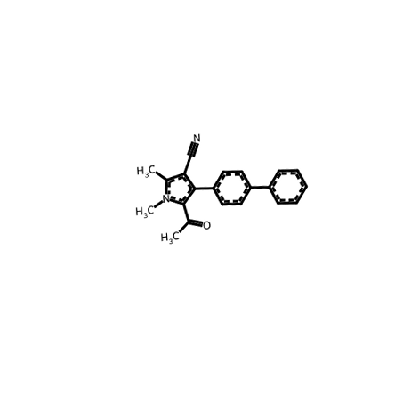 CC(=O)c1c(-c2ccc(-c3ccccc3)cc2)c(C#N)c(C)n1C